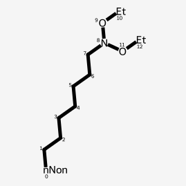 CCCCCCCCCCCCCCCCN(OCC)OCC